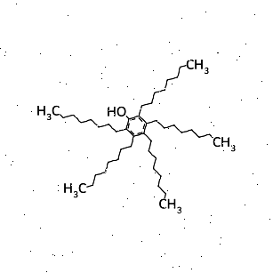 CCCCCCCCc1c(O)c(CCCCCCCC)c(CCCCCCCC)c(CCCCCCCC)c1CCCCCCCC